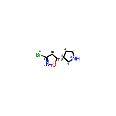 BrC1=NOC([C@@H]2CCNC2)C1